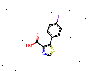 O=C(O)c1ncsc1-c1ccc(I)cc1